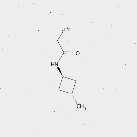 CC(C)CC(=O)N[C@H]1C[C@H](C)C1